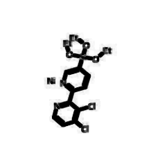 CCO[Si](OCC)(OCC)c1ccc(-c2nccc(Cl)c2Cl)nc1.[Ni]